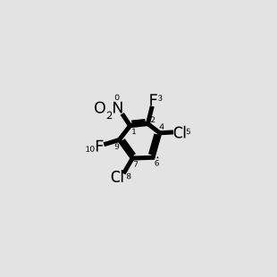 O=[N+]([O-])c1c(F)c(Cl)[c]c(Cl)c1F